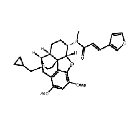 COc1cc(OC(C)=O)c2c3c1O[C@H]1[C@@H](N(C)C(=O)/C=C/c4ccoc4)CC[C@H]4[C@@H](C2)N(CC2CC2)CC[C@@]341